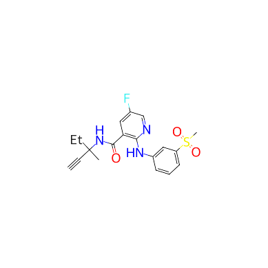 C#CC(C)(CC)NC(=O)c1cc(F)cnc1Nc1cccc(S(C)(=O)=O)c1